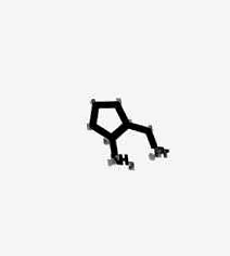 CC(C)CC1CCCC1N